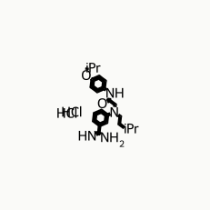 CC(C)CCN(CC(=O)Nc1ccc(OC(C)C)cc1)c1cccc(C(=N)N)c1.Cl.Cl